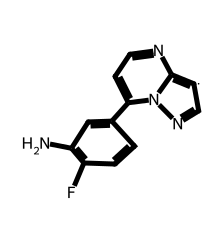 Nc1cc(-c2ccnc3[c]cnn23)ccc1F